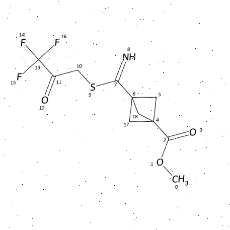 COC(=O)C12CC(C(=N)SCC(=O)C(F)(F)F)(C1)C2